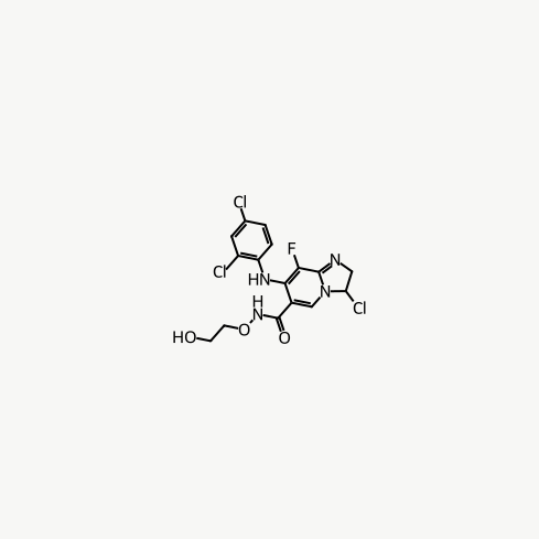 O=C(NOCCO)C1=CN2C(=NCC2Cl)C(F)=C1Nc1ccc(Cl)cc1Cl